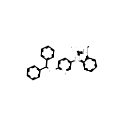 Cn1c(=O)n(-c2ccc(OC(c3ccccc3)c3ccccc3)nc2)c2ccccc21